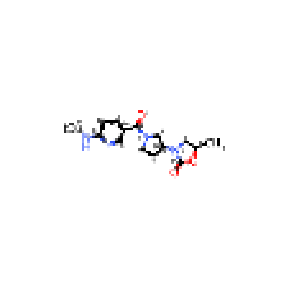 CC1CN([C@H]2CCN(C(=O)c3ccc(NC(C)(C)C)nc3)C2)C(=O)O1